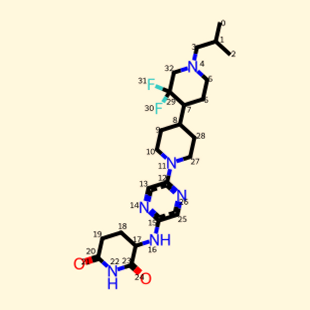 CC(C)CN1CCC(C2CCN(c3cnc(NC4CCC(=O)NC4=O)cn3)CC2)C(F)(F)C1